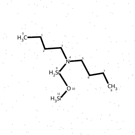 CCCCN(CCCC)[SiH2]O[SiH3]